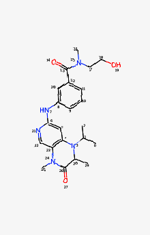 CC(C)N1c2cc(Nc3cccc(C(=O)N(C)CCO)c3)ncc2N(C)C(=O)C1C